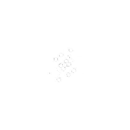 Cc1ccc(Oc2cc3c4c(cc(Oc5ccc(C)cc5C)c5c6c(Oc7ccc(C)cc7C)cc7c8c(cc(Oc9ccc(C)cc9C)c(c2c45)c86)C(=O)N(C(CC(C)C)C(=O)Oc2ccc(C(C)(C)C)cc2)C7=O)C(=O)N(C(CC(C)C)C(=O)Oc2ccc(C(C)(C)C)cc2)C3=O)c(C)c1